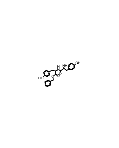 NC(Cc1ccc(O)cc1)C(=O)NC(Cc1ccc(O)cc1)C(=O)OCc1ccccc1